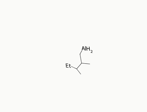 CCC(C)C(C)[CH2][AlH2]